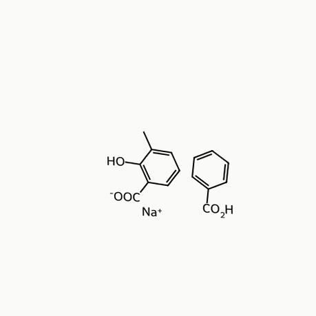 Cc1cccc(C(=O)[O-])c1O.O=C(O)c1ccccc1.[Na+]